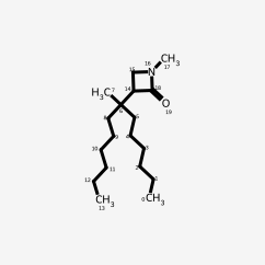 CCCCCCC(C)(CCCCCC)C1CN(C)C1=O